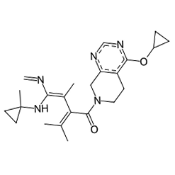 C=N/C(NC1(C)CC1)=C(\C)C(C(=O)N1CCc2c(ncnc2OC2CC2)C1)=C(C)C